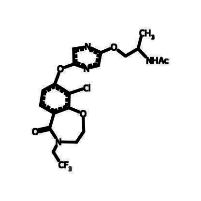 CC(=O)NC(C)COc1cnc(Oc2ccc3c(c2Cl)OCCN(CC(F)(F)F)C3=O)cn1